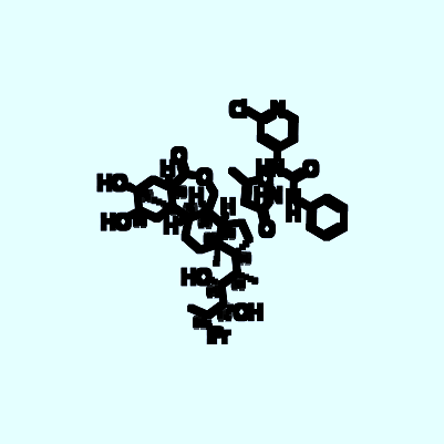 CC(C)[C@H](C)[C@@H](O)[C@H](O)[C@@H](C)[C@H]1CC[C@H]2[C@@H]3COC(=O)[C@H]4C[C@H](O)[C@H](O)C[C@]4(C)[C@H]3CC[C@]12C.Cc1cc(=O)[nH]o1.O=C(Nc1ccccc1)Nc1ccnc(Cl)c1